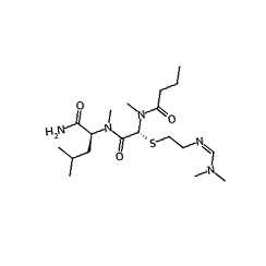 CCCC(=O)N(C)[C@H](SCC/N=C\N(C)C)C(=O)N(C)[C@@H](CC(C)C)C(N)=O